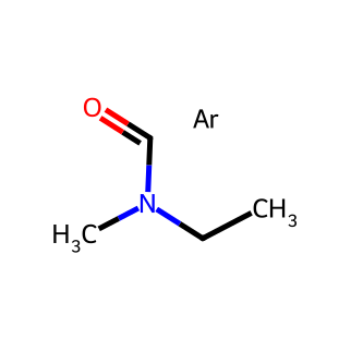 CCN(C)C=O.[Ar]